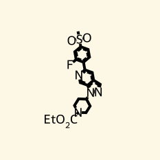 CCOC(=O)N1CCC(n2ncc3cc(-c4ccc(S(C)(=O)=O)cc4F)ncc32)CC1